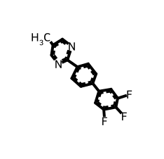 Cc1cnc(-c2ccc(-c3cc(F)c(F)c(F)c3)cc2)nc1